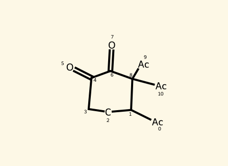 CC(=O)C1CCC(=O)C(=O)C1(C(C)=O)C(C)=O